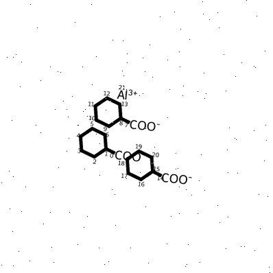 O=C([O-])C1CCCCC1.O=C([O-])C1CCCCC1.O=C([O-])C1CCCCC1.[Al+3]